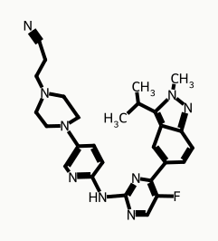 CC(C)c1c2cc(-c3nc(Nc4ccc(N5CCN(CCC#N)CC5)cn4)ncc3F)ccc2nn1C